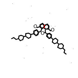 CCCC1CCC(C2CCC(c3ccc(C(OC(c4ccc(C5CCC(C6CCC(CCC)CC6)CC5)cc4)c4ccccc4C=O)c4ccccc4C=O)cc3)CC2)CC1